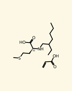 C=CC(=O)O.CCCCC(CC)CN[C@@H](CCSC)C(=O)O